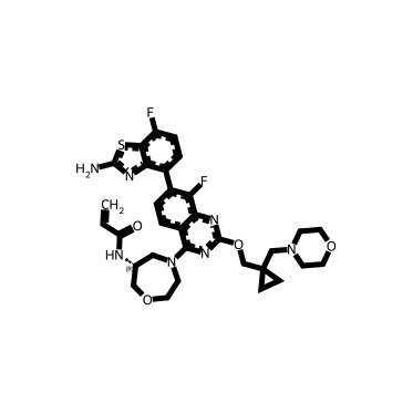 C=CC(=O)N[C@H]1COCCN(c2nc(OCC3(CN4CCOCC4)CC3)nc3c(F)c(-c4ccc(F)c5sc(N)nc45)ccc23)C1